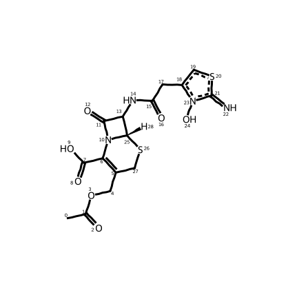 CC(=O)OCC1=C(C(=O)O)N2C(=O)C(NC(=O)Cc3csc(=N)n3O)[C@@H]2SC1